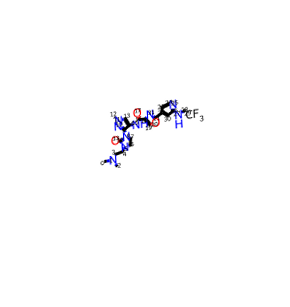 CN(C)CCN1CCN(c2nn(C)cc2NC(=O)c2coc(-c3ccnc(NCC(F)(F)F)c3)n2)C1=O